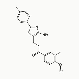 CCOc1ccc(C(=O)CCc2sc(-c3ccc(C)cc3)nc2C(C)C)cc1C